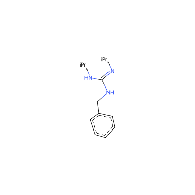 CC(C)N=C(NCc1ccccc1)NC(C)C